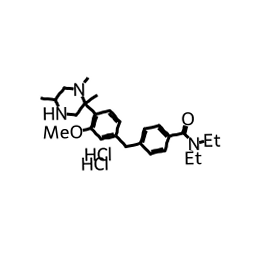 CCN(CC)C(=O)c1ccc(Cc2ccc(C3(C)CNC(C)CN3C)c(OC)c2)cc1.Cl.Cl